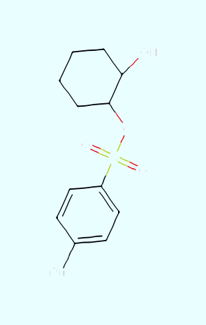 CCC(C)c1ccc(S(=O)(=O)OC2CCCC[C@@]2(C)O)cc1